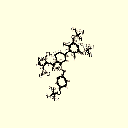 [2H]C([2H])([2H])Oc1ccc(Cn2nc(-c3c([N+](=O)[O-])cnn3C)c3c2CC(c2c(F)c(OC([2H])([2H])[2H])cc(OC([2H])([2H])[2H])c2F)CC3)cc1